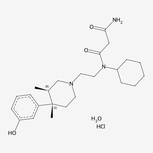 C[C@H]1CN(CCN(C(=O)CC(N)=O)C2CCCCC2)CC[C@]1(C)c1cccc(O)c1.Cl.O